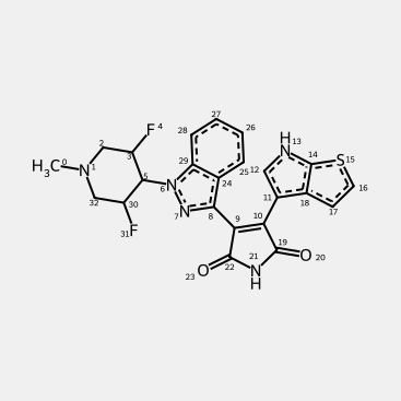 CN1CC(F)C(n2nc(C3=C(c4c[nH]c5sccc45)C(=O)NC3=O)c3ccccc32)C(F)C1